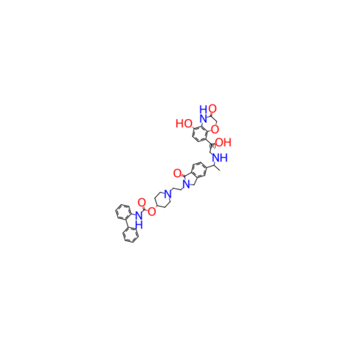 CC(NC[C@H](O)c1ccc(O)c2c1OCC(=O)N2)c1ccc2c(c1)CN(CCN1CCC(OC(=O)Nc3ccccc3-c3ccccc3)CC1)C2=O